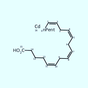 CCCCC/C=C\C/C=C\C/C=C\C/C=C\CCCC(=O)O.[Cd]